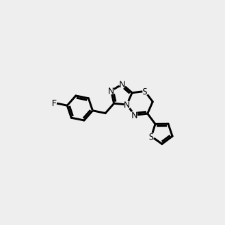 Fc1ccc(Cc2nnc3n2N=C(c2cccs2)CS3)cc1